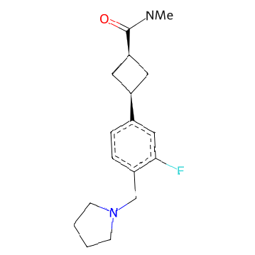 CNC(=O)[C@H]1C[C@@H](c2ccc(CN3CCCC3)c(F)c2)C1